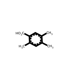 Cc1cc(C)c(C(=O)O)cc1C